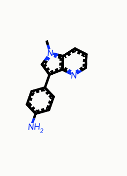 Cn1cc(-c2ccc(N)cc2)c2ncccc21